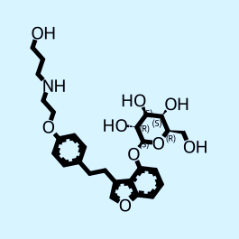 OCCCNCCOc1ccc(CCc2coc3cccc(O[C@@H]4O[C@H](CO)[C@@H](O)[C@H](O)[C@H]4O)c23)cc1